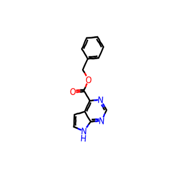 O=C(OCc1ccccc1)c1ncnc2[nH]ccc12